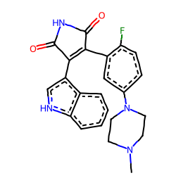 CN1CCN(c2ccc(F)c(C3=C(c4c[nH]c5ccccc45)C(=O)NC3=O)c2)CC1